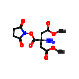 CC(C)(C)OC(=O)CC(N)(CC(=O)OC(C)(C)C)C(=O)ON1C(=O)CCC1=O